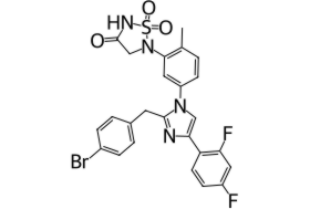 Cc1ccc(-n2cc(-c3ccc(F)cc3F)nc2Cc2ccc(Br)cc2)cc1N1CC(=O)NS1(=O)=O